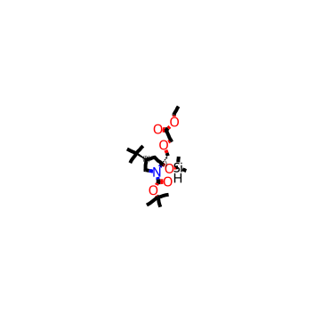 CCOC(=O)COC[C@@]1(O[SiH](C)C)C[C@H](C(C)(C)C)CN1C(=O)OC(C)(C)C